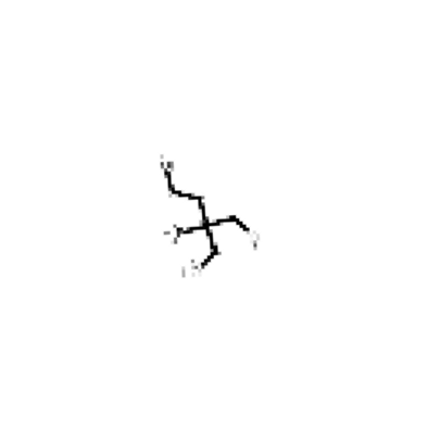 OCCC(P)(CO)CO